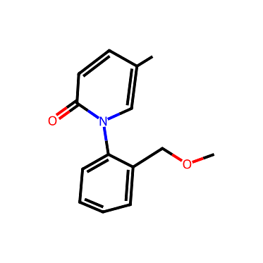 COCc1ccccc1-n1cc(C)ccc1=O